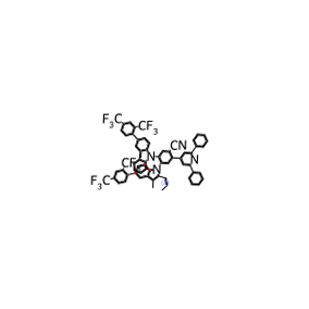 C/C=C\c1c(C)c2cc(-c3ccc(C(F)(F)F)cc3C(F)(F)F)ccc2n1-c1cc(-c2cc(-c3ccccc3)nc(-c3ccccc3)c2)c(C#N)cc1-n1c2ccccc2c2cc(-c3ccc(C(F)(F)F)cc3C(F)(F)F)ccc21